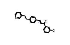 O=C(/C=C/c1ccc(CCc2cccnc2)cc1)c1cccc(Cl)c1